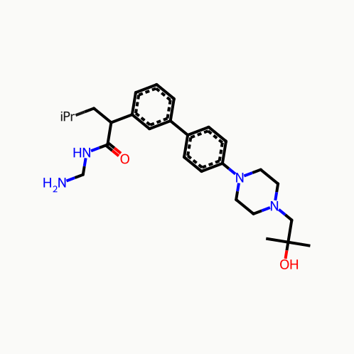 CC(C)CC(C(=O)NCN)c1cccc(-c2ccc(N3CCN(CC(C)(C)O)CC3)cc2)c1